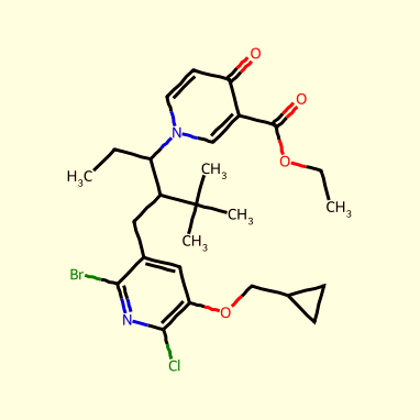 CCOC(=O)c1cn(C(CC)C(Cc2cc(OCC3CC3)c(Cl)nc2Br)C(C)(C)C)ccc1=O